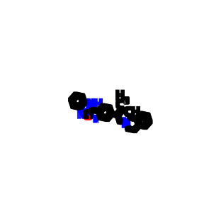 CC(C)=C(CN1CCc2ccccc2C1)c1ccc(C(=O)Nc2ccccc2N)cc1